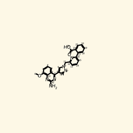 COc1cccc2c(-c3cn(Cc4cccc(-c5ccccc5C(=O)O)n4)nn3)nc(N)nc12